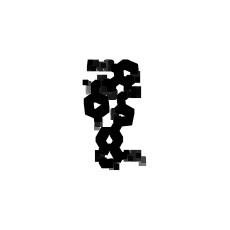 COc1ccnc(NCc2ccc(-c3ccc4ncnc(N)c4c3)s2)c1C(=O)N[C@@H](C)c1ccc(F)cc1